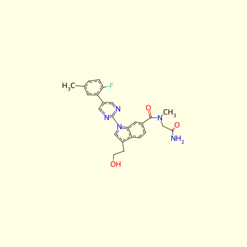 Cc1ccc(F)c(-c2cnc(-n3cc(CCO)c4ccc(C(=O)N(C)CC(N)=O)cc43)nc2)c1